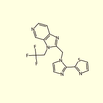 FC(F)(F)Cn1c(Cn2ccnc2-c2nccs2)nc2ccncc21